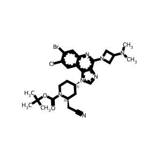 CN(C)C1CN(c2nc3cc(Br)c(Cl)cc3c3c2ncn3[C@H]2CCN(C(=O)OC(C)(C)C)[C@H](CC#N)C2)C1